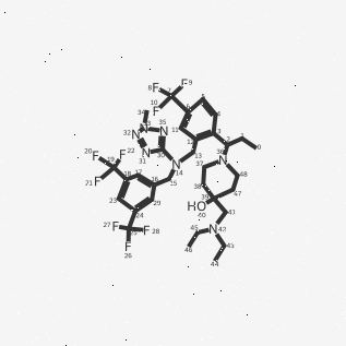 CCC(c1ccc(C(F)(F)F)cc1CN(Cc1cc(C(F)(F)F)cc(C(F)(F)F)c1)c1nnn(C)n1)N1CCC(O)(CN(CC)CC)CC1